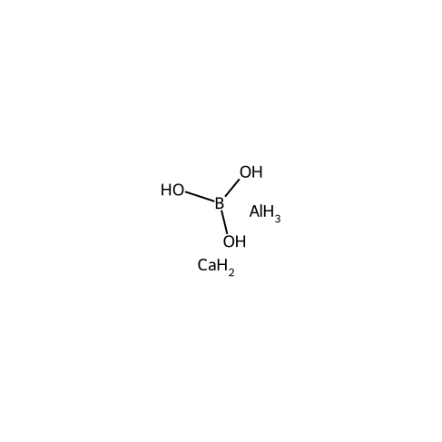 OB(O)O.[AlH3].[CaH2]